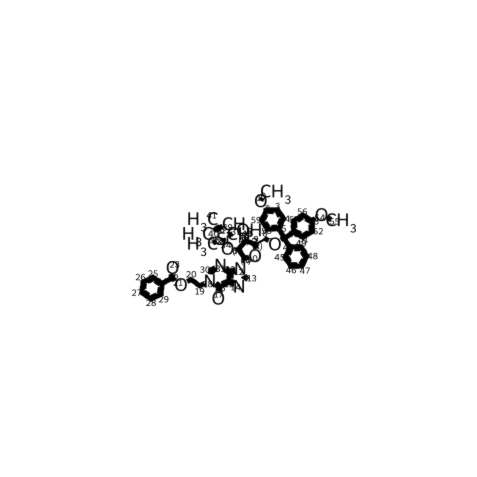 COc1ccc(C(OC[C@H]2O[C@@H](n3cnc4c(=O)n(CCOC(=O)c5ccccc5)cnc43)[C@H](O[Si](C)(C)C(C)(C)C)[C@@H]2O)(c2ccccc2)c2ccc(OC)cc2)cc1